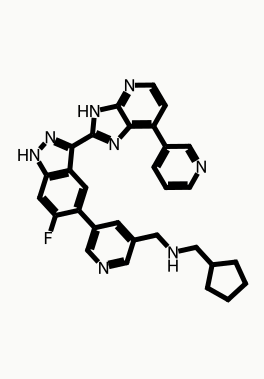 Fc1cc2[nH]nc(-c3nc4c(-c5cccnc5)ccnc4[nH]3)c2cc1-c1cncc(CNCC2CCCC2)c1